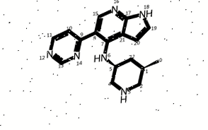 C[C@H]1CNC[C@@H](Nc2c(-c3ccncn3)cnc3[nH]ccc23)C1